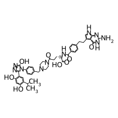 CC(C)c1cc(-c2nnc(O)n2-c2ccc(CN3CCN(C(=O)CC[C@H](NC(=O)c4ccc(CCc5c[nH]c6nc(N)[nH]c(=O)c56)cc4)C(=O)O)CC3)cc2)c(O)cc1O